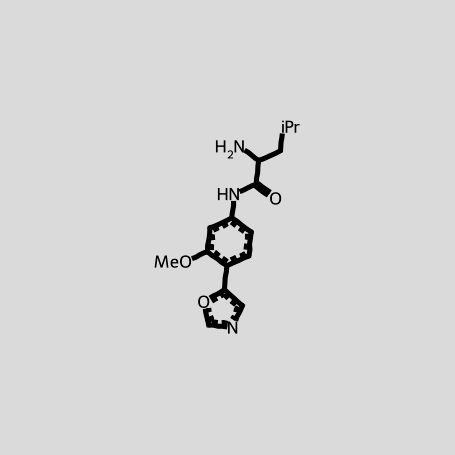 COc1cc(NC(=O)C(N)CC(C)C)ccc1-c1cnco1